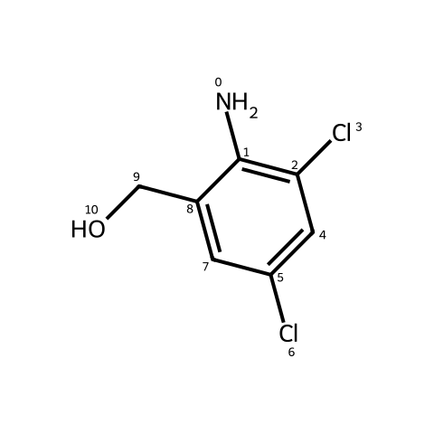 Nc1c(Cl)cc(Cl)cc1CO